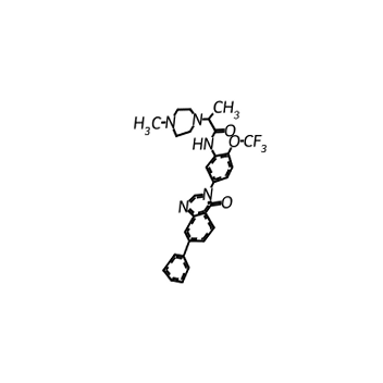 CC(C(=O)Nc1cc(-n2cnc3cc(-c4ccccc4)ccc3c2=O)ccc1OC(F)(F)F)N1CCN(C)CC1